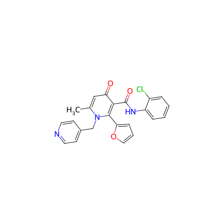 Cc1cc(=O)c(C(=O)Nc2ccccc2Cl)c(-c2ccco2)n1Cc1ccncc1